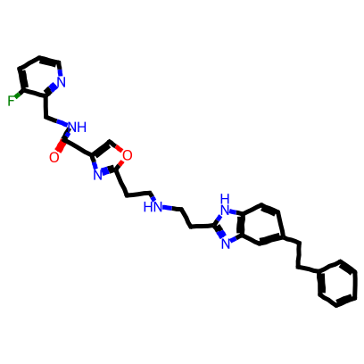 O=C(NCc1ncccc1F)c1coc(CCNCCc2nc3cc(CCc4ccccc4)ccc3[nH]2)n1